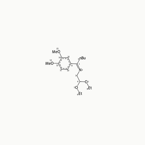 CCCC/C(=N/CC(OCC)OCC)c1ccc(OC)c(OC)c1